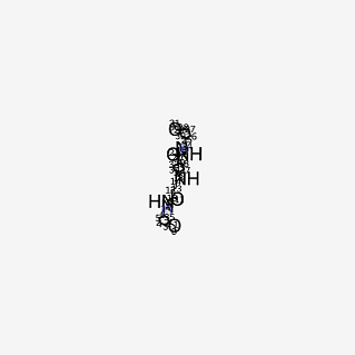 COc1cccc(/C=N/NC(=O)CCCNc2ccc(C(=O)N/N=C/c3cccc(OC)c3)cc2)c1